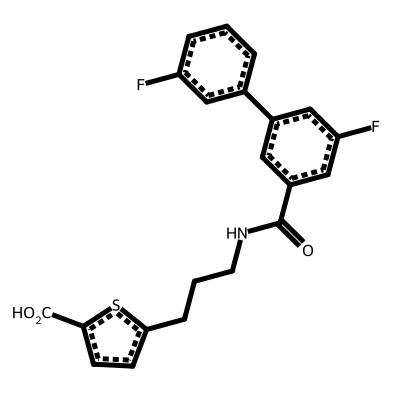 O=C(NCCCc1ccc(C(=O)O)s1)c1cc(F)cc(-c2cccc(F)c2)c1